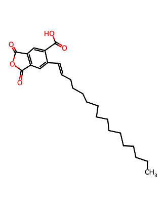 CCCCCCCCCCCCCCC=Cc1cc2c(cc1C(=O)O)C(=O)OC2=O